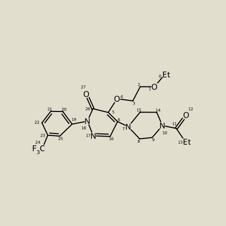 CCOCCOc1c(N2CCN(C(=O)CC)CC2)cnn(-c2cccc(C(F)(F)F)c2)c1=O